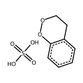 O=S(=O)(O)O.c1ccc2c(c1)CCOO2